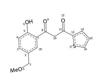 COCc1ccc(O)c(C(=O)CC(=O)c2cccs2)c1